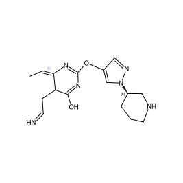 C/C=C1/N=C(Oc2cnn([C@@H]3CCCNC3)c2)N=C(O)C1CC=N